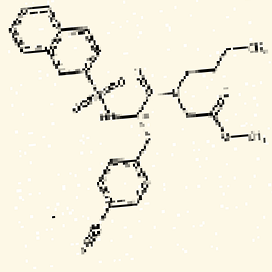 CCCCN(CC(=O)OC)C(=O)[C@H](Cc1ccc(C#N)cc1)NS(=O)(=O)c1ccc2ccccc2c1